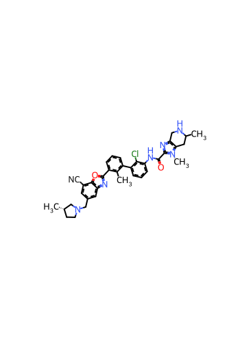 Cc1c(-c2nc3cc(CN4CC[C@H](C)C4)cc(C#N)c3o2)cccc1-c1cccc(NC(=O)c2nc3c(n2C)CC(C)NC3)c1Cl